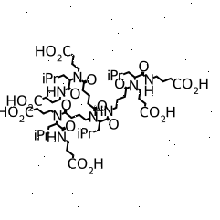 CC(C)CC(C(=O)NCCCC(=O)O)N(CCCC(=O)O)C(=O)CCCNC(=O)C(CC(C)C)N(CCCC(=O)N(CCCC(=O)O)C(CC(C)C)C(=O)NCCCC(=O)O)C(=O)CCCC(=O)N(CCCC(=O)O)C(CC(C)C)C(=O)NCCCC(=O)O